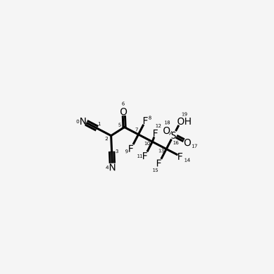 N#CC(C#N)C(=O)C(F)(F)C(F)(F)C(F)(F)S(=O)(=O)O